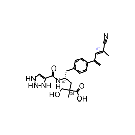 C=C(/C=C(\C)C#N)c1ccc(C[C@H](C[C@@](C)(CO)C(=O)O)NC(=O)C2=CNNN2)cc1